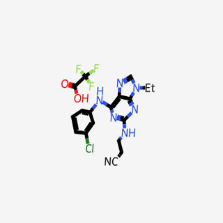 CCn1cnc2c(Nc3cccc(Cl)c3)nc(NCCC#N)nc21.O=C(O)C(F)(F)F